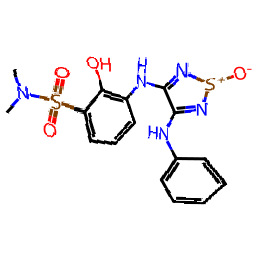 CN(C)S(=O)(=O)c1cccc(Nc2n[s+]([O-])nc2Nc2ccccc2)c1O